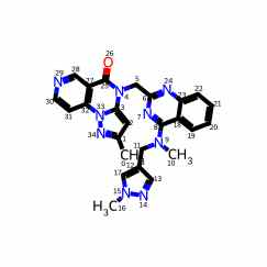 Cc1cc2n(Cc3nc(N(C)Cc4cnn(C)c4)c4ccccc4n3)c(=O)c3cnccc3n2n1